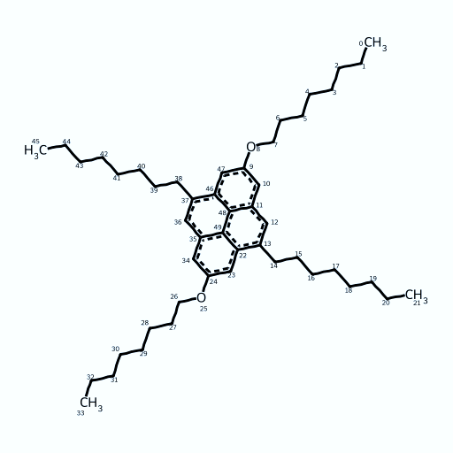 CCCCCCCCOc1cc2cc(CCCCCCCC)c3cc(OCCCCCCCC)cc4cc(CCCCCCCC)c(c1)c2c43